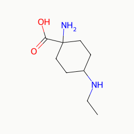 CCNC1CCC(N)(C(=O)O)CC1